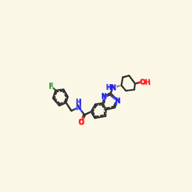 O=C(NCc1ccc(F)cc1)c1ccc2cnc(N[C@H]3CC[C@H](O)CC3)nc2c1